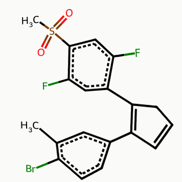 Cc1cc(C2=C(c3cc(F)c(S(C)(=O)=O)cc3F)CC=C2)ccc1Br